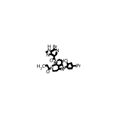 C=CC(=O)N1CCc2nn(-c3ccc(C(C)C)cc3O)c3c2[C@H](C1)N(C(=O)c1cnc(Br)c2[nH]cnc12)CC3